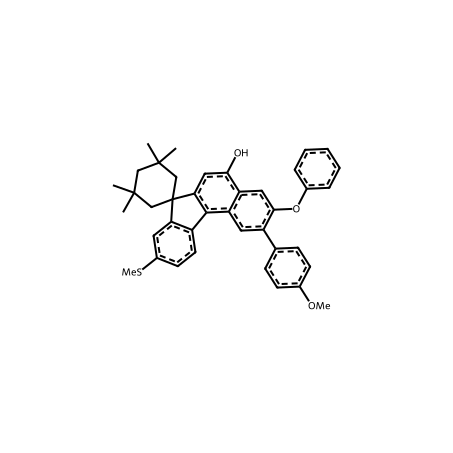 COc1ccc(-c2cc3c4c(cc(O)c3cc2Oc2ccccc2)C2(CC(C)(C)CC(C)(C)C2)c2cc(SC)ccc2-4)cc1